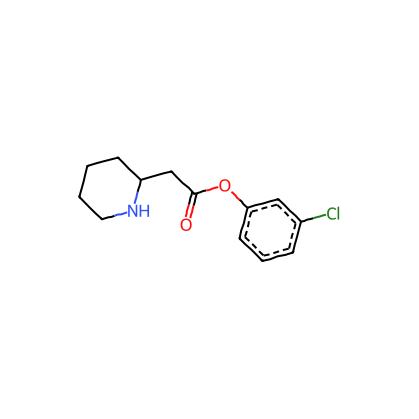 O=C(CC1CCCCN1)Oc1cccc(Cl)c1